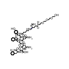 C[C@@H](O)[C@H](NC(=O)[C@H](CC(N)=O)NC(=O)[C@H](Cc1c[nH]c2ccccc12)NC(=O)[C@H](CC(N)=O)NC(=O)[C@@H](Cc1ccc(O)cc1)NC(=O)CCCCN/C=C(/CCC(=O)NCCOCCOCCOCCO)N=N)C(=O)N[C@@H](Cc1ccccc1)C(N)=O